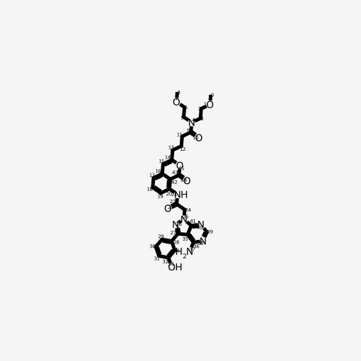 COCCN(CCOC)C(=O)CCCc1cc2cccc(NC(=O)Cn3nc(-c4cccc(O)c4)c4c(N)ncnc43)c2c(=O)o1